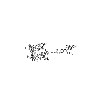 CC(=O)O[C@]1(C(C)=O)CC[C@H]2[C@@H]3C=C(C)C4=CC(=O)CC[C@]4(C)[C@H]3CC[C@@]21C.CC(=O)O[C@]1(C(C)=O)CC[C@H]2[C@@H]3C[C@H](C)C4=CC(=O)CC[C@]4(C)[C@H]3CC[C@@]21C.CCCCCC(=O)Oc1ccc(/C(CC)=C(\CC)c2ccc(O)cc2)cc1